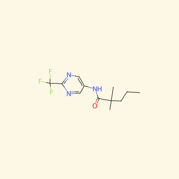 CCCC(C)(C)C(=O)Nc1cnc(C(F)(F)F)nc1